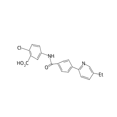 CCc1ccc(-c2ccc(C(=O)Nc3ccc(Cl)c(C(=O)O)c3)cc2)nc1